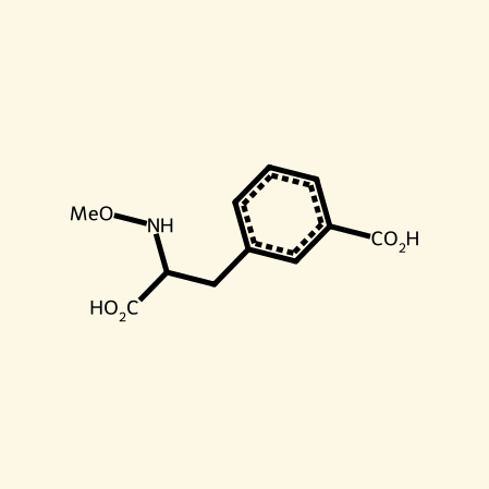 CONC(Cc1cccc(C(=O)O)c1)C(=O)O